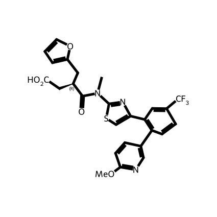 COc1ccc(-c2ccc(C(F)(F)F)cc2-c2csc(N(C)C(=O)[C@@H](CC(=O)O)Cc3ccco3)n2)cn1